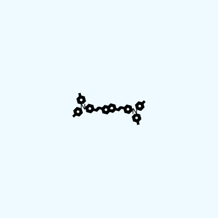 Cc1ccc(N(c2ccc(C)cc2)c2ccc(/C=C/c3ccc4cc(/C=C/c5ccc(N(c6ccc(C)cc6)c6ccc(C)cc6)cc5)ccc4c3)cc2)cc1